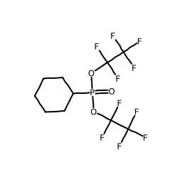 O=P(OC(F)(F)C(F)(F)F)(OC(F)(F)C(F)(F)F)C1CCCCC1